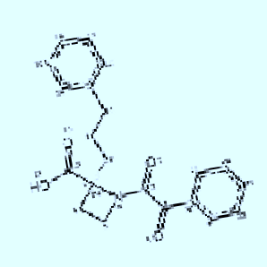 O=C(C(=O)N1CC[C@@]1(CCCc1cccnc1)C(=O)O)c1ccccc1